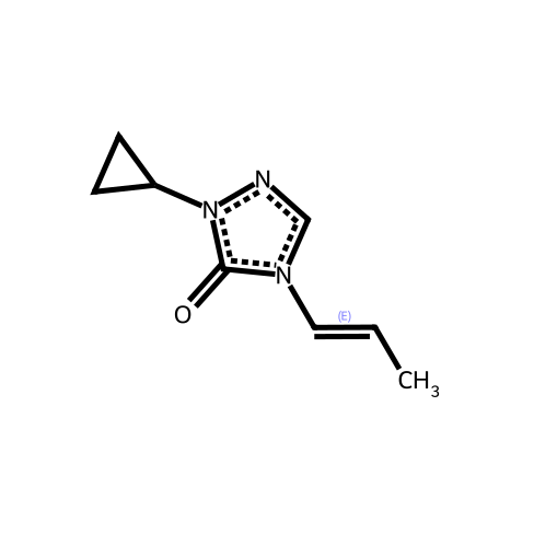 C/C=C/n1cnn(C2CC2)c1=O